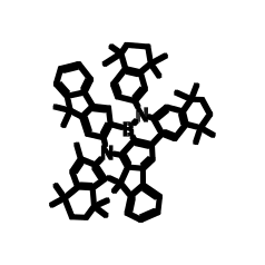 Cc1cc2c(cc1N1c3cc4c(cc3B3c5c(cc6c(c51)C(C)(C)c1ccccc1-6)-c1cc5c(cc1N3c1ccc3c(c1)C(C)(C)CCC3(C)C)C(C)(C)CCC5(C)C)-c1ccccc1C4(C)C)C(C)(C)CCC2(C)C